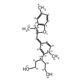 Cc1ccc2oc(/C=C3\C=CN(C)C(N(CCO)CCO)=C3)[n+](C)c2c1